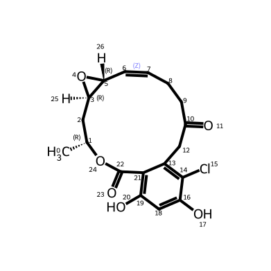 C[C@@H]1C[C@H]2O[C@@H]2/C=C\CCC(=O)Cc2c(Cl)c(O)cc(O)c2C(=O)O1